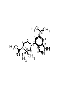 CC(=O)N1CCN(c2cc(C(C)C)cc3[nH]ncc23)CC1(C)C